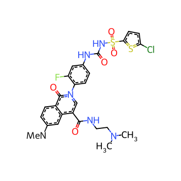 CNc1ccc2c(=O)n(-c3ccc(NC(=O)NS(=O)(=O)c4ccc(Cl)s4)cc3F)cc(C(=O)NCCN(C)C)c2c1